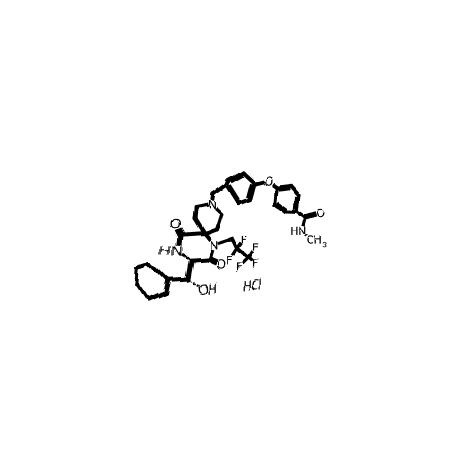 CNC(=O)c1ccc(Oc2ccc(CN3CCC4(CC3)C(=O)N[C@H]([C@H](O)C3CCCCC3)C(=O)N4CC(F)(F)C(F)(F)F)cc2)cc1.Cl